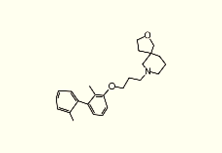 Cc1ccccc1-c1cccc(OCCCN2CCCC3(CCOC3)C2)c1C